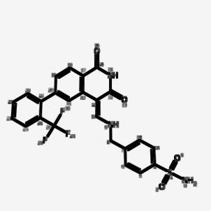 NS(=O)(=O)c1ccc(CNC=C2C(=O)NC(=O)c3ccc(-c4ccccc4C(F)(F)F)cc32)cc1